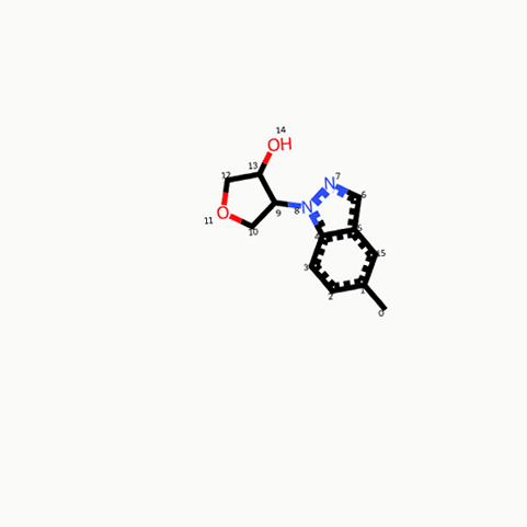 Cc1ccc2c(cnn2C2COCC2O)c1